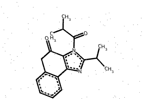 CC(C)C(=O)n1c(C(C)C)nc2c1C(=O)Cc1ccccc1-2